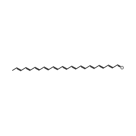 C/C=C/C=C/C=C/C=C/C=C/C=C/C=C/C=C/C=C/C=C/C=C/C=O